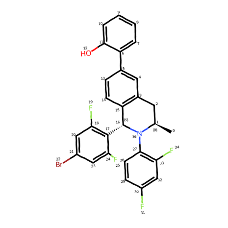 C[C@@H]1Cc2cc(-c3ccccc3O)ccc2[C@@H](c2c(F)cc(Br)cc2F)N1c1ccc(F)cc1F